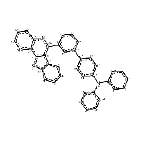 c1ccc(N(c2ccccc2)c2ccc(-c3cccc(-c4nc5cccnc5c5oc6ccccc6c45)c3)cc2)cc1